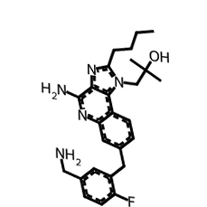 CCCCc1nc2c(N)nc3cc(Cc4cc(CN)ccc4F)ccc3c2n1CC(C)(C)O